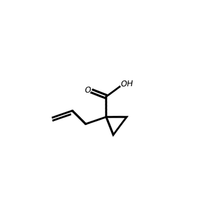 C=CCC1(C(=O)O)CC1